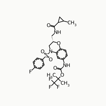 CC1CC1C(=O)NC[C@H]1CN(S(=O)(=O)c2ccc(F)cc2)c2cc(NC(=O)OC(C)(C)C(F)(F)F)ccc2O1